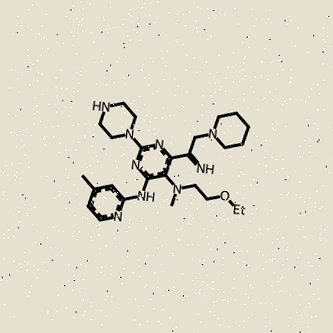 CCOCCN(C)c1c(Nc2cc(C)ccn2)nc(N2CCNCC2)nc1C(=N)CN1CCCCC1